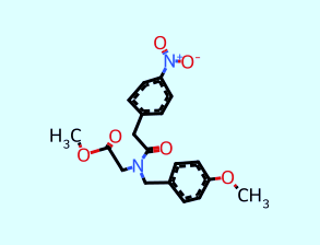 COC(=O)CN(Cc1ccc(OC)cc1)C(=O)Cc1ccc([N+](=O)[O-])cc1